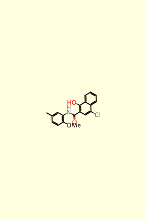 COc1ccc(C)cc1NC(=O)c1cc(Cl)c2ccccc2c1O